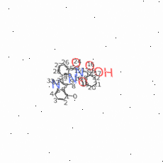 Cc1cccc2c1c(Cn1c(=O)n(CC3(C(=O)O)CCCCC3)c(=O)c3ccccc31)cn2C